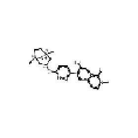 Cn1ccc2cc(-c3ccc(O[C@H]4C[C@]5(C)CC[C@](C)(C4)N5)nn3)c(O)cc2c1=O